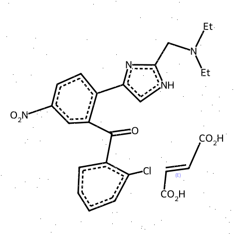 CCN(CC)Cc1nc(-c2ccc([N+](=O)[O-])cc2C(=O)c2ccccc2Cl)c[nH]1.O=C(O)/C=C/C(=O)O